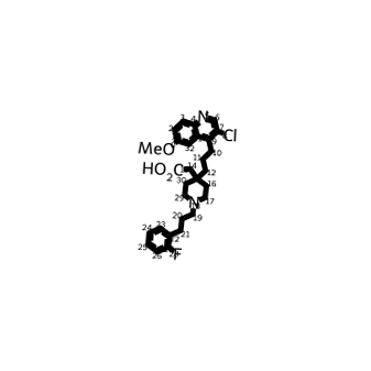 COc1ccc2ncc(Cl)c(CCCC3(CC(=O)O)CCN(CCCc4ccccc4F)CC3)c2c1